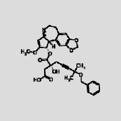 COC1=C[C@]23CCCN2CCc2cc4c(cc2[C@@H]3[C@@H]1OC(=O)[C@@](O)(CC#CC(C)(C)OCc1ccccc1)CC(=O)O)OCO4